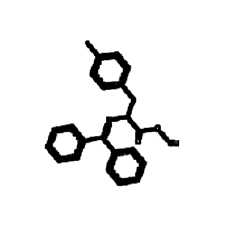 Cc1ccc(CC(N=C(c2ccccc2)c2ccccc2)C(=O)OC(C)(C)C)cc1